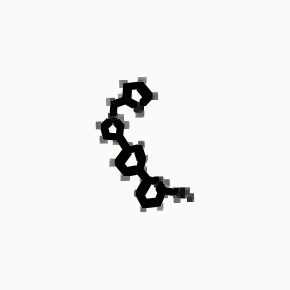 Nc1cccc(-c2ccc(C3CCN(Cc4ccco4)C3)cc2)n1